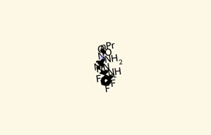 CCCOC(=O)/N=C(\N)c1cnn2ccc(N[C@H](C)c3cc(F)cc(F)c3F)nc12